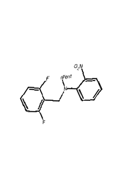 CCCCCN(Cc1c(F)cccc1F)c1ccccc1[N+](=O)[O-]